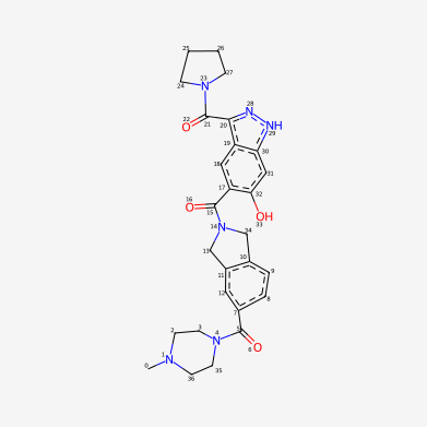 CN1CCN(C(=O)c2ccc3c(c2)CN(C(=O)c2cc4c(C(=O)N5CCCC5)n[nH]c4cc2O)C3)CC1